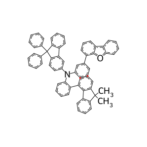 CC1(C)c2ccccc2-c2c(-c3ccccc3N(c3cccc(-c4cccc5c4oc4ccccc45)c3)c3ccc4c(c3)-c3ccccc3C4(c3ccccc3)c3ccccc3)cccc21